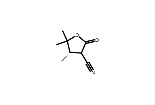 C[C@H]1C(C#N)C(=O)OC1(C)C